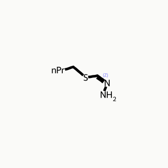 CCCCS/C=N\N